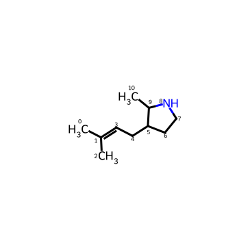 CC(C)=CCC1CCNC1C